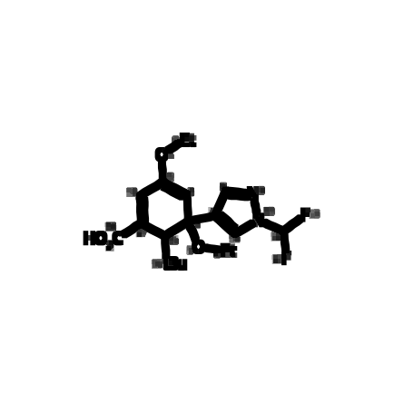 CCOC1=CC(OCC)(c2cnn(C(F)F)c2)C(C(C)(C)C)C(C(=O)O)=C1